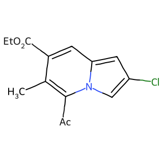 CCOC(=O)c1cc2cc(Cl)cn2c(C(C)=O)c1C